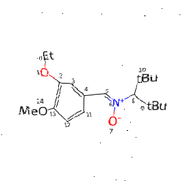 CCOc1cc(C=[N+]([O-])C(C(C)(C)C)C(C)(C)C)ccc1OC